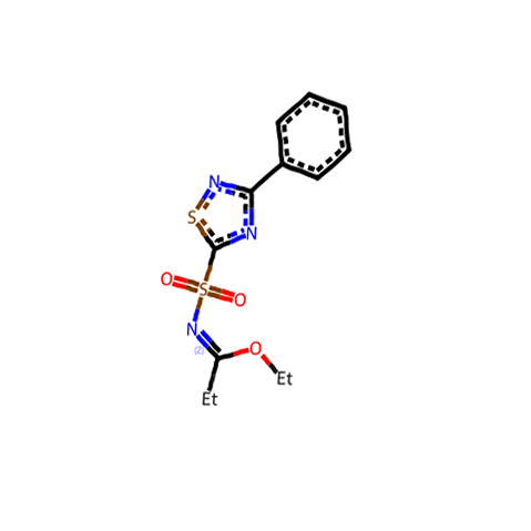 CCO/C(CC)=N\S(=O)(=O)c1nc(-c2ccccc2)ns1